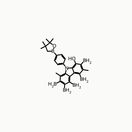 Bc1c(B)c(C)c2c(c1B)c1c(B)c(C)c(B)c(O)c1n2-c1ccc(B2CC(C)(C)C(C)(C)O2)cc1